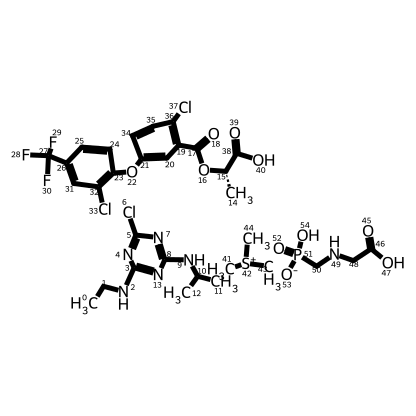 CCNc1nc(Cl)nc(NC(C)C)n1.C[C@H](OC(=O)c1cc(Oc2ccc(C(F)(F)F)cc2Cl)ccc1Cl)C(=O)O.C[S+](C)C.O=C(O)CNCP(=O)([O-])O